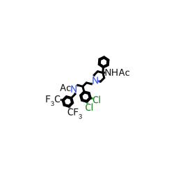 CC(=O)NC1(c2ccccc2)CCN(CCC(CN(Cc2cc(C(F)(F)F)cc(C(F)(F)F)c2)C(C)=O)c2ccc(Cl)c(Cl)c2)CC1